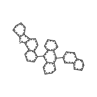 c1ccc2cc(-c3c4ccccc4c(-c4cccc5c4ccc4c6ccccc6sc54)c4ccccc34)ccc2c1